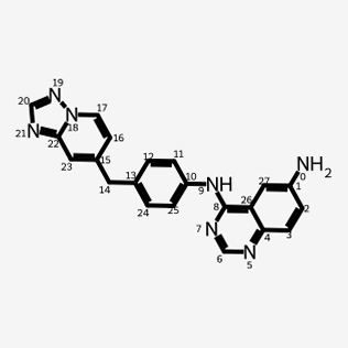 Nc1ccc2ncnc(Nc3ccc(Cc4ccn5ncnc5c4)cc3)c2c1